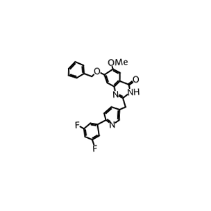 COc1cc2c(=O)[nH]c(Cc3ccc(-c4cc(F)cc(F)c4)nc3)nc2cc1OCc1ccccc1